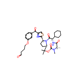 C[C@@H](C(=O)N[C@H](C(=O)N1CCC[C@H]1c1nc(C(=O)c2cccc(OCCCC=O)c2)cs1)C1CCCCC1)N(C)C(=O)OC(C)(C)C